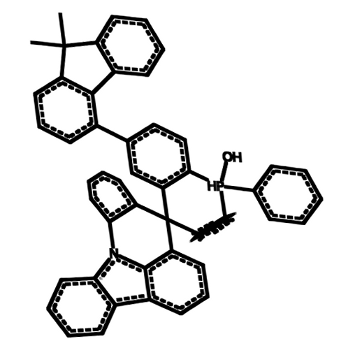 CC1(C)c2ccccc2-c2c(-c3ccc4c(c3)C3(c5ccccc5-n5c6ccccc6c6cccc3c65)c3ccccc3[PH]4(O)c3ccccc3)cccc21